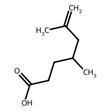 C=C(C)CC(C)CCC(=O)O